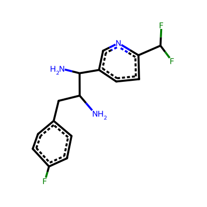 NC(Cc1ccc(F)cc1)C(N)c1ccc(C(F)F)nc1